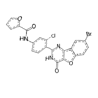 O=C(Nc1ccc(-c2nc3c(oc4ccc(Br)cc43)c(=O)[nH]2)c(Cl)c1)c1ccco1